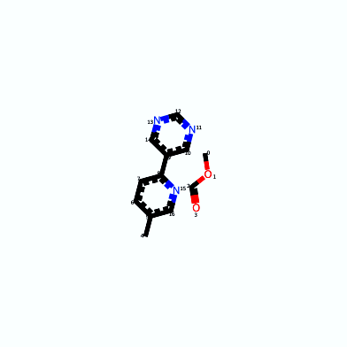 COC=O.Cc1ccc(-c2cncnc2)nc1